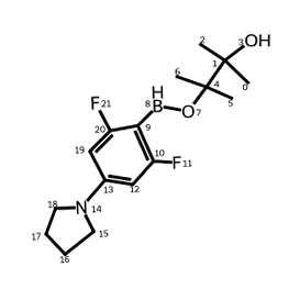 CC(C)(O)C(C)(C)OBc1c(F)cc(N2CCCC2)cc1F